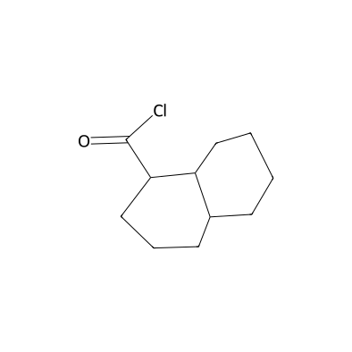 O=C(Cl)C1CCCC2CCCCC21